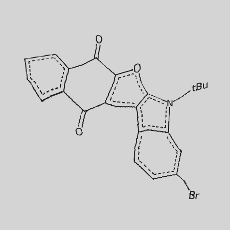 CC(C)(C)n1c2cc(Br)ccc2c2c3c(oc21)C(=O)c1ccccc1C3=O